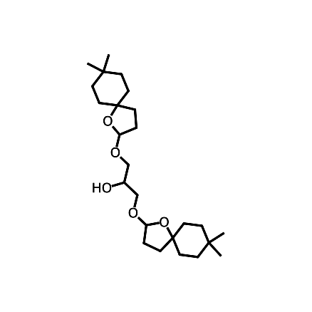 CC1(C)CCC2(CCC(OCC(O)COC3CCC4(CCC(C)(C)CC4)O3)O2)CC1